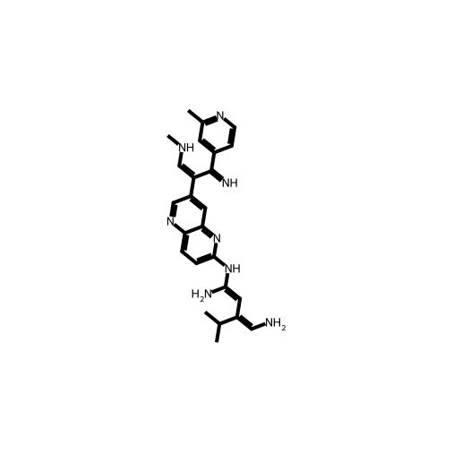 CN/C=C(\C(=N)c1ccnc(C)c1)c1cnc2ccc(N/C(N)=C/C(=C\N)C(C)C)nc2c1